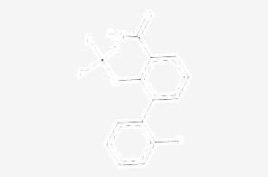 NC(=O)c1cccc(-c2ccccc2F)c1OC(F)(F)F